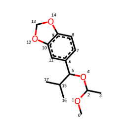 COC(C)OC(c1ccc2c(c1)OCO2)C(C)C